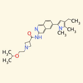 CCc1cc(-c2ccc3cnc(NC(=O)C4CN(CCOC(C)C)C4)cc3c2)n(C)c1C